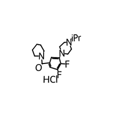 CC(C)N1CCN(c2cc(C(=O)N3CCCCC3)cc(F)c2F)CC1.Cl